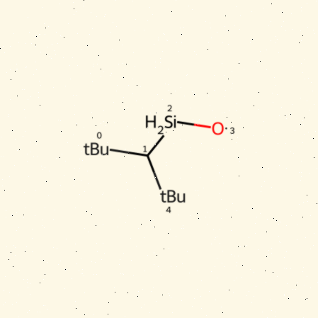 CC(C)(C)C([SiH2][O])C(C)(C)C